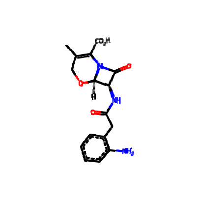 CC1=C(C(=O)O)N2C(=O)[C@@H](NC(=O)Cc3ccccc3N)[C@H]2OC1